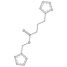 O=C(CCCc1cccs1)OCc1cccs1